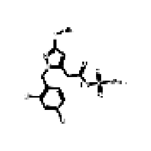 CCCCCS(=O)(=O)NC(=O)Cc1cc(OCCCC)nn1Cc1ccc(Cl)cc1Cl